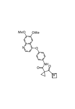 COc1cc2nccc(Oc3ccc(NC(=O)C4(C(=O)N5C6CC5C6)CC4)cc3)c2cc1OC